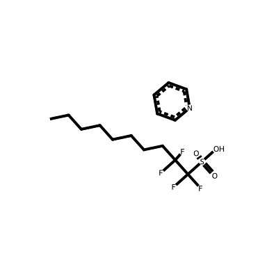 CCCCCCCCC(F)(F)C(F)(F)S(=O)(=O)O.c1ccncc1